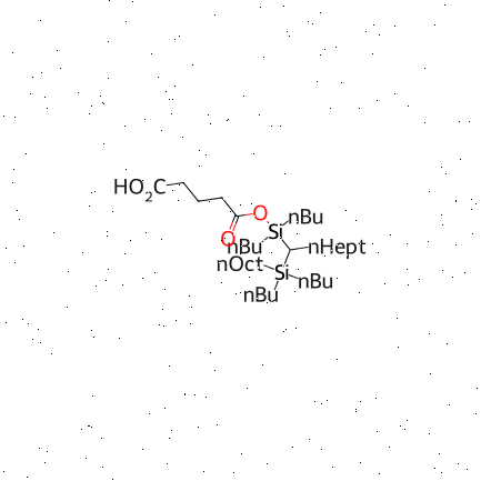 CCCCCCCC[Si](CCCC)(CCCC)C(CCCCCCC)[Si](CCCC)(CCCC)OC(=O)CCCC(=O)O